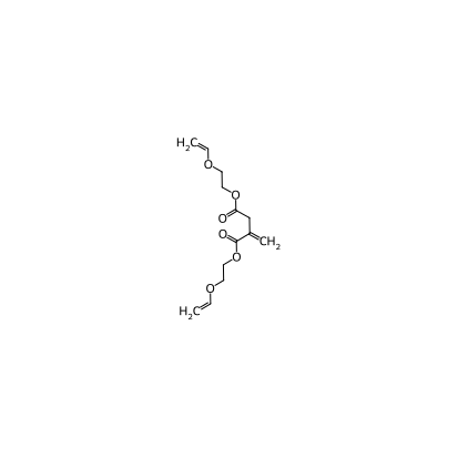 C=COCCOC(=O)CC(=C)C(=O)OCCOC=C